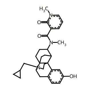 CN(C(=O)c1cccn(C)c1=O)C1CCC23CCC1C21CCN(CC2CC2)C3Cc2ccc(O)cc21